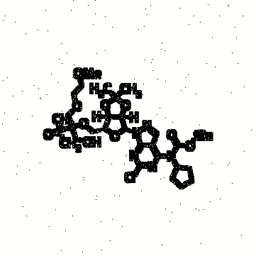 COCCOCC(CO)(OC[C@H]1O[C@@H](n2ncc3c(N(C(=O)OC(C)(C)C)C4CCCC4)nc(Cl)nc32)[C@@H]2OC(C)(C)O[C@@H]21)P(C)(C)=O